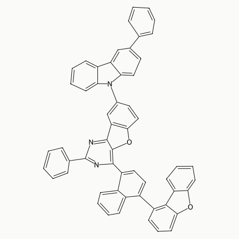 c1ccc(-c2ccc3c(c2)c2ccccc2n3-c2ccc3oc4c(-c5ccc(-c6cccc7oc8ccccc8c67)c6ccccc56)nc(-c5ccccc5)nc4c3c2)cc1